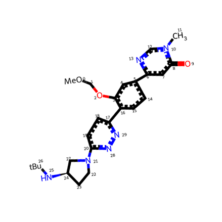 COCOc1cc(-c2cc(=O)n(C)cn2)ccc1-c1ccc(N2CC[C@@H](NC(C)(C)C)C2)nn1